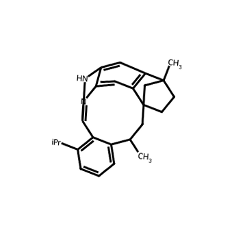 CC(C)c1cccc2c1-c1nc3cc4c(cc3[nH]1)C1(C)CCC4(CC2C)C1